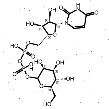 O=c1ccn([C@@H]2O[C@H](COP(=O)(O)OP(=O)(O)OC3O[C@H](CO)[C@@H](O)[C@H](O)[C@@H]3O)[C@@H](O)[C@H]2O)c(=O)[nH]1